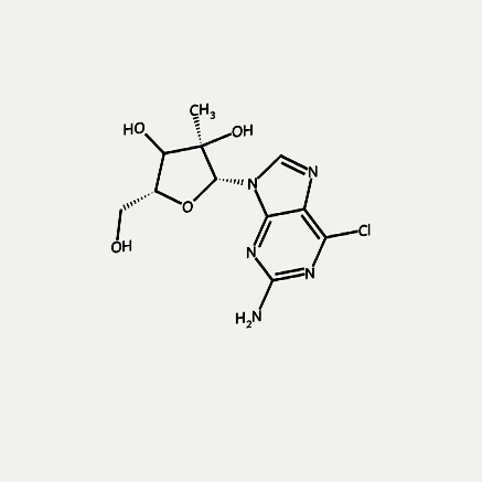 C[C@@]1(O)C(O)[C@@H](CO)O[C@H]1n1cnc2c(Cl)nc(N)nc21